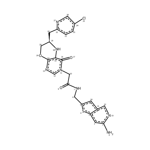 Nc1cc2sc(CNC(=O)Cn3cnc4c(c3=O)N[C@H](Cc3ccc(Cl)cn3)CO4)cc2cn1